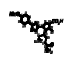 COc1ccc(-c2nc(-c3cc(C(=O)O)c(C)n3C(CCC(N)=O)CC(C)C)cs2)cc1